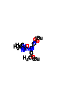 C=Cn1ncc(C(=O)Nc2cc(C3CCN(C(=O)OC(C)(C)C)CC3)nn2-c2ccc(C(=C)OC(C)(C)C)cc2)c1N=C